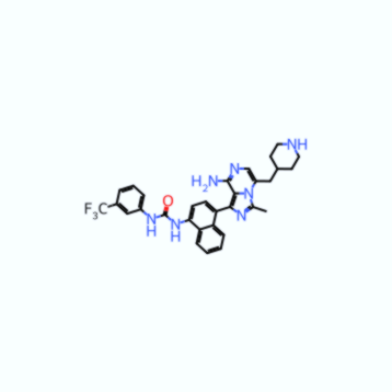 Cc1nc(-c2ccc(NC(=O)Nc3cccc(C(F)(F)F)c3)c3ccccc23)c2c(N)ncc(CC3CCNCC3)n12